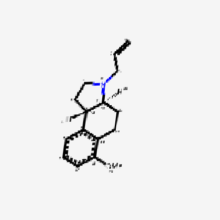 C=CCN1CC[C@H]2c3cccc(OC)c3CC[C@@H]21